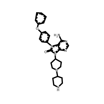 Nc1ncnc2c1n(-c1ccc(Oc3ccccc3)cc1)c(=O)n2C1CCN(C2CCNCC2)CC1